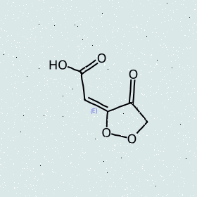 O=C(O)/C=C1/OOCC1=O